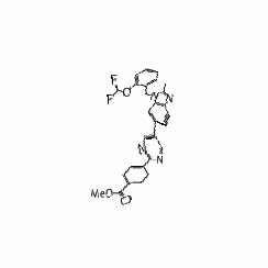 COC(=O)C1CC=C(c2ncc(-c3ccc4nc(C)n(Cc5ccccc5OC(F)F)c4c3)cn2)CC1